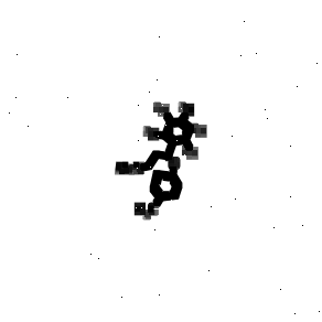 [2H]c1c([2H])c([2H])c(C(CCNC)Oc2ccc(C)cc2)c([2H])c1[2H]